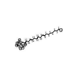 O=[C]CCCCCCC=CCC=CCC=CCC=CCC([N+](=O)[O-])([N+](=O)[O-])[N+](=O)[O-]